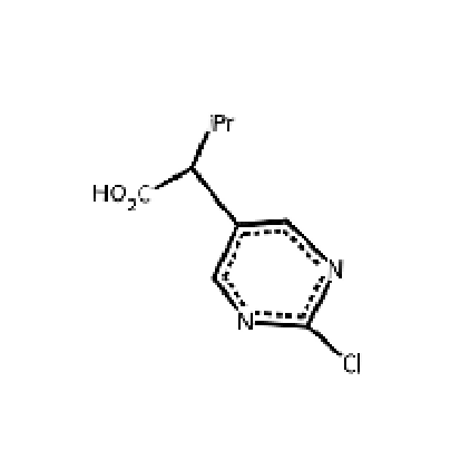 CC(C)C(C(=O)O)c1cnc(Cl)nc1